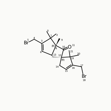 CC1(C)C(CBr)=CC[C@@]1(C)C(=O)[C@]1(C)CC=C(CBr)C1(C)C